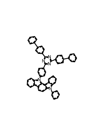 c1ccc(-c2ccc(-c3nc(-c4ccc(-c5ccccc5)cc4)nc(-c4ccc(-n5c6ccccc6c6ccc7c(c8ccccc8n7-c7ccccc7)c65)cc4)n3)cc2)cc1